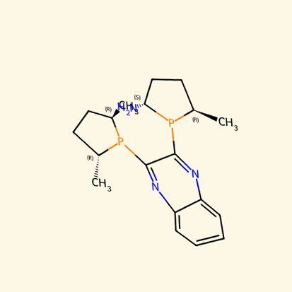 C[C@@H]1CC[C@@H](C)P1c1nc2ccccc2nc1P1[C@H](C)CC[C@H]1N